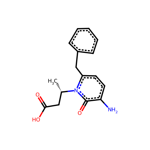 C[C@@H](CC(=O)O)n1c(Cc2ccccc2)ccc(N)c1=O